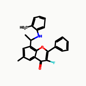 Cc1cc(C(C)Nc2ccccc2C(=O)O)c2oc(-c3ccccc3)c(F)c(=O)c2c1